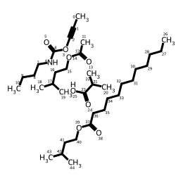 CC#COC(=O)NCCCC.CC(=O)OCCC(C)C.CC(C)C(=O)O.CCCCCCCCCCCC(=O)OCCC(C)C